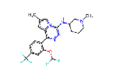 Cc1cc2c(-c3ccc(C(F)(F)F)cc3OC(F)F)nnc(N[C@@H]3CCCN(C)C3)n2c1